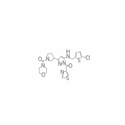 O=C(N1CCOCC1)N1CCC(c2cc(NCc3ccc(Cl)s3)n(C(=O)c3cscn3)n2)C1